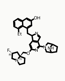 CCc1cccc2cc(O)cc(CC3N=Cc4c3cc(OC[C@@]35CCCN3C[C@H](F)C5)nc4N3CC4CCC(C3)N4)c12